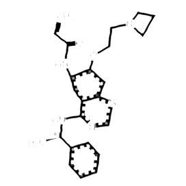 C=CC(=O)Nc1cc2c(N[C@H](C)c3ccccc3)ncnc2cc1OCCN1CCC1